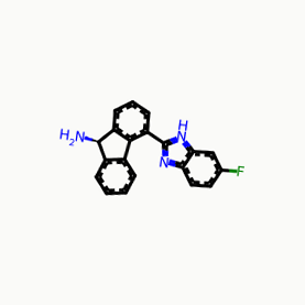 N[C@@H]1c2ccccc2-c2c(-c3nc4ccc(F)cc4[nH]3)cccc21